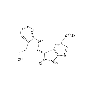 CCOC(=O)c1cnc2c(c1)/C(=C\Nc1ccccc1CCO)C(=O)N2